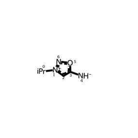 CC(C)[n+]1cc([NH-])on1